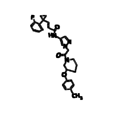 Cc1ccc(OC2CCCN(C(=O)Cn3cc(NC(=O)/C=C/C4(c5ccccc5F)CC4)cn3)C2)cc1